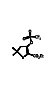 CCOC(=O)C1=C(OS(=O)(=O)C(F)(F)F)CC(C)(C)S1